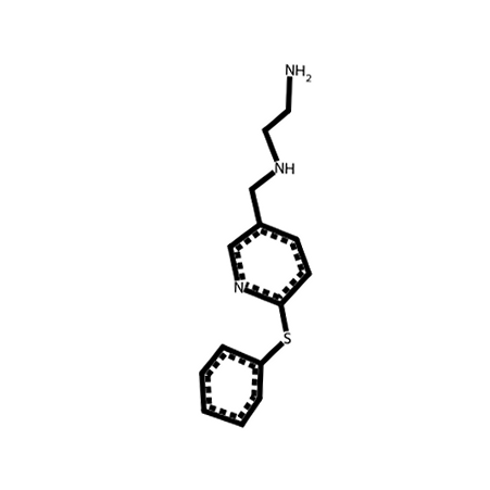 NCCNCc1ccc(Sc2ccccc2)nc1